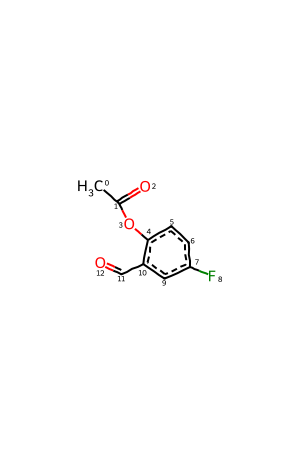 CC(=O)Oc1ccc(F)cc1C=O